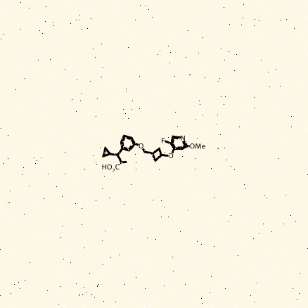 COc1cc(OC2CC(COc3cccc(C(C4CC4)[C@H](C)C(=O)O)c3)C2)c(F)cn1